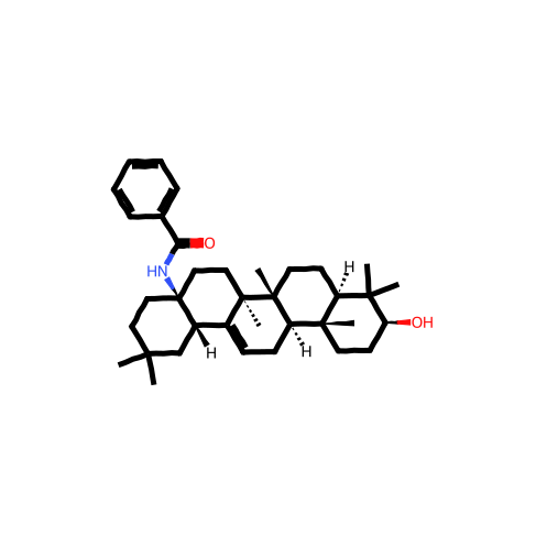 CC1(C)CC[C@]2(NC(=O)c3ccccc3)CC[C@]3(C)C(=CC[C@@H]4[C@@]5(C)CC[C@H](O)C(C)(C)[C@@H]5CC[C@]43C)[C@@H]2C1